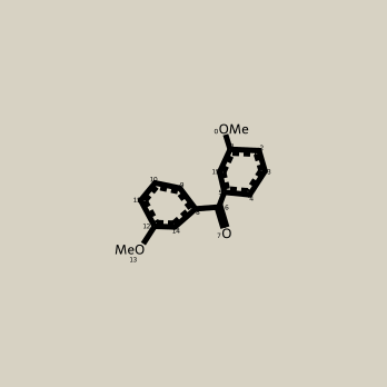 COc1cccc(C(=O)c2cccc(OC)c2)c1